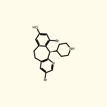 Oc1cc(Br)c2c(c1)CCc1cc(Br)cnc1[C@@H]2C1CCNCC1